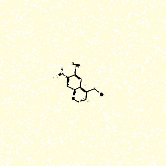 C#CCc1cccc2cc(C(=O)O)c(I(=O)=O)cc12